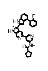 O=C(Nc1cncc(-c2cc3c(-c4cc5c(-c6ccccc6F)cccc5[nH]4)n[nH]c3cn2)c1)C1CCCC1